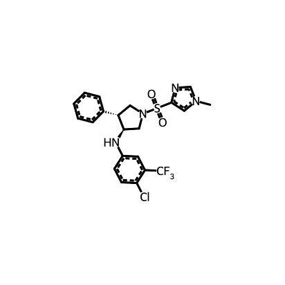 Cn1cnc(S(=O)(=O)N2C[C@@H](Nc3ccc(Cl)c(C(F)(F)F)c3)[C@H](c3ccccc3)C2)c1